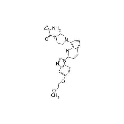 COCCOc1ccc2c(c1)ncn2-c1ccc2cccc(N3CCN(C(=O)C4(N)CC4)CC3)c2n1